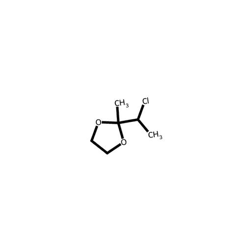 CC(Cl)C1(C)OCCO1